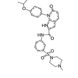 CC(C)Oc1ccc(-n2c(=O)ccc3cc(C(=O)Nc4cccc(S(=O)(=O)N5CCN(C)CC5)c4)[nH]c32)cc1